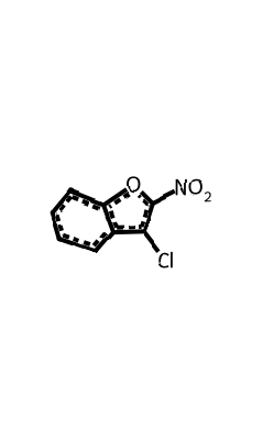 O=[N+]([O-])c1oc2ccccc2c1Cl